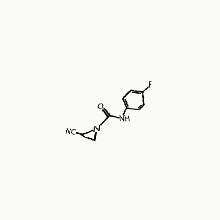 N#CC1CN1C(=O)Nc1ccc(F)cc1